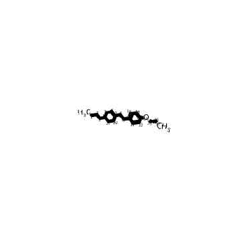 CCCCC1CC=C(CCc2ccc(OCCC)cc2)CC1